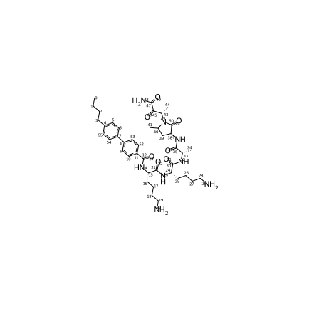 CCCCc1ccc(-c2ccc(C(=O)N[C@@H](CCCCN)C(=O)N[C@@H](CCCCN)C(=O)N[C@@H](C)C(=O)N[C@H]3CC(C)N([C@@H](C)C(=O)C(N)=O)C3=O)cc2)cc1